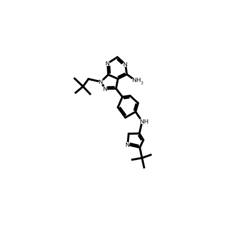 CC(C)(C)Cn1nc(-c2ccc(NC3=CC(C(C)(C)C)=NC3)cc2)c2c(N)ncnc21